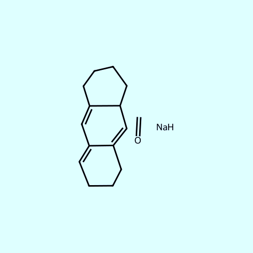 C1=C2C=C3CCCCC3C=C2CCC1.C=O.[NaH]